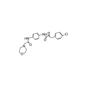 O=C(CN1CCOCC1)Nc1ccc(NC(=O)NCc2ccc(Cl)cc2)cc1